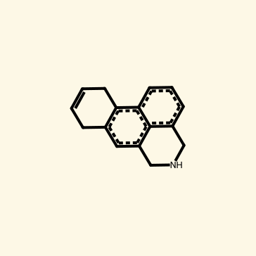 C1=CCc2c(cc3c4c(cccc24)CNC3)C1